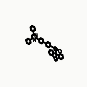 C1=CC2c3ccccc3C3(c4ccccc4Oc4ccc(-c5ccc(-c6ccc(-c7nc(-c8ccccc8)cc(-c8ccccc8)n7)cc6)cc5)cc43)C2C=C1